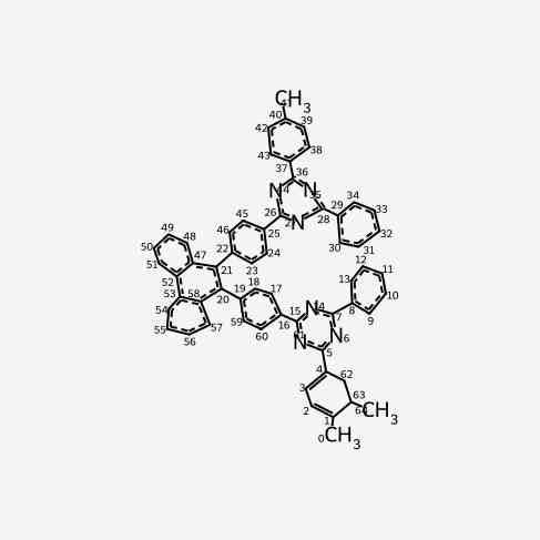 CC1=CC=C(c2nc(-c3ccccc3)nc(-c3ccc(-c4c(-c5ccc(-c6nc(-c7ccccc7)nc(-c7ccc(C)cc7)n6)cc5)c5ccccc5c5ccccc45)cc3)n2)CC1C